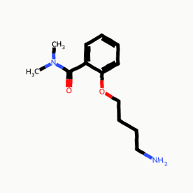 CN(C)C(=O)c1ccccc1OCCCCN